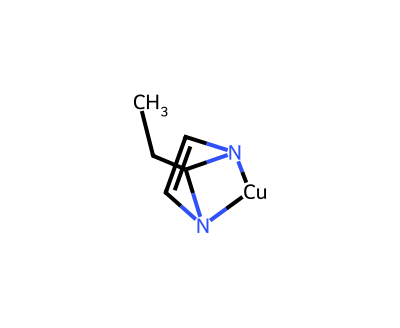 CCC1[N]2C=C[N]1[Cu]2